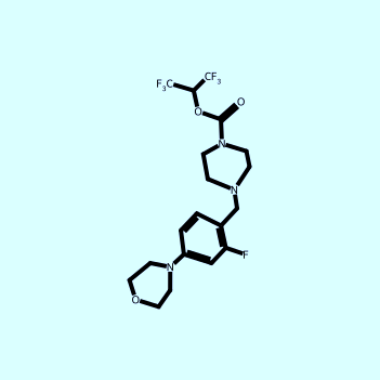 O=C(OC(C(F)(F)F)C(F)(F)F)N1CCN(Cc2ccc(N3CCOCC3)cc2F)CC1